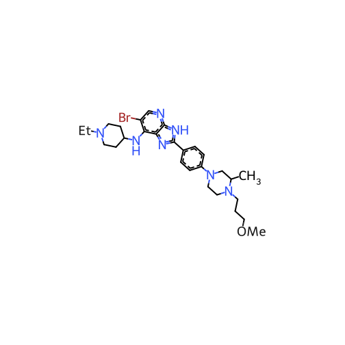 CCN1CCC(Nc2c(Br)cnc3[nH]c(-c4ccc(N5CCN(CCCOC)C(C)C5)cc4)nc23)CC1